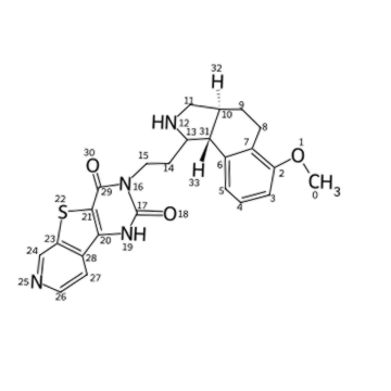 COc1cccc2c1CC[C@@H]1CNC(CCn3c(=O)[nH]c4c(sc5cnccc54)c3=O)[C@@H]21